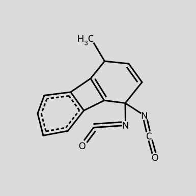 CC1C=CC(N=C=O)(N=C=O)C2=C1c1ccccc12